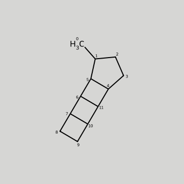 CC1CCC2C1C1C3CCC3C21